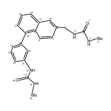 CC(C)(C)NC(=O)NCc1ccc2c(-c3cccc(NC(=O)NC(C)(C)C)c3)cccc2c1